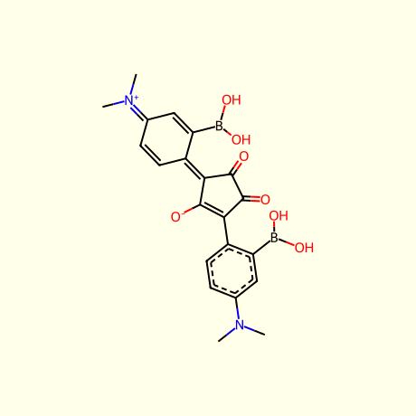 CN(C)c1ccc(C2=C([O-])C(=C3C=CC(=[N+](C)C)C=C3B(O)O)C(=O)C2=O)c(B(O)O)c1